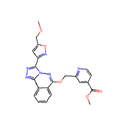 COCc1cc(-c2nnc3c4ccccc4c(OCc4cc(C(=O)OC)ccn4)nn23)no1